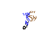 SCCNCCN(CCS)CCCN1CCC(Cc2ccccc2)CC1